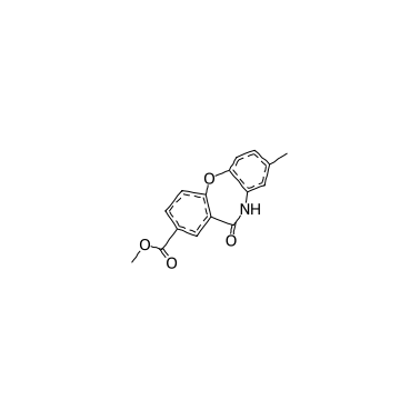 COC(=O)c1ccc2c(c1)C(=O)Nc1cc(C)ccc1O2